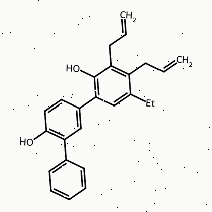 C=CCc1c(CC)cc(-c2ccc(O)c(-c3ccccc3)c2)c(O)c1CC=C